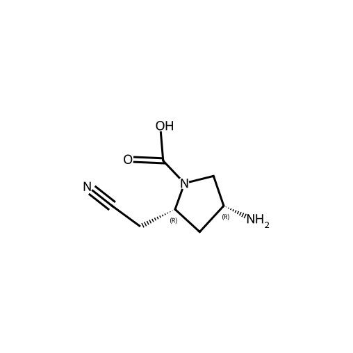 N#CC[C@H]1C[C@@H](N)CN1C(=O)O